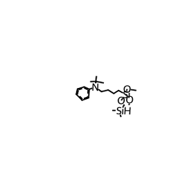 CO[Si](CCCCN(c1ccccc1)C(C)(C)C)(OC)OC[SiH](C)C